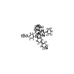 CC(C)(C)c1ccc2c(c1)c1cc(C(C)(C)C)ccc1n2-c1ccc(-c2ccncc2)cc1-c1nc(-c2ccccc2)nc(-c2ccccc2)n1